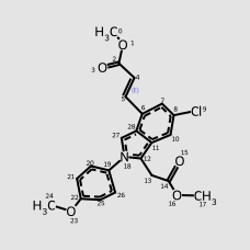 COC(=O)/C=C/c1cc(Cl)cc2c(CC(=O)OC)n(-c3ccc(OC)cc3)cc12